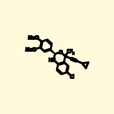 COc1ccc([C@H]2Nc3ccc(Cl)cc3C(C#CC3CC3)(C(F)(F)F)O2)cc1OC